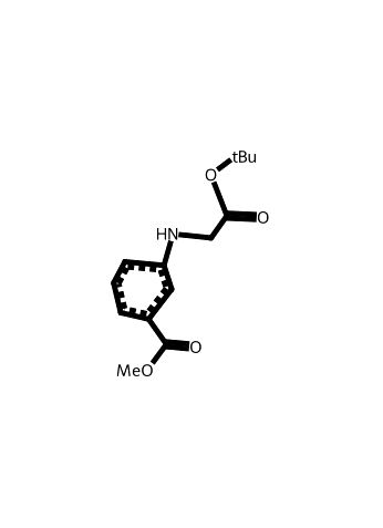 COC(=O)c1cccc(NCC(=O)OC(C)(C)C)c1